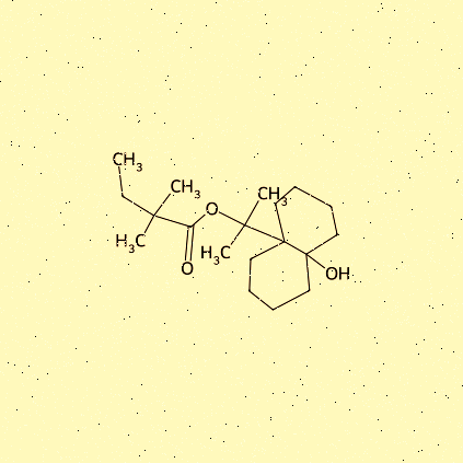 CCC(C)(C)C(=O)OC(C)(C)C12CCCCC1(O)CCCC2